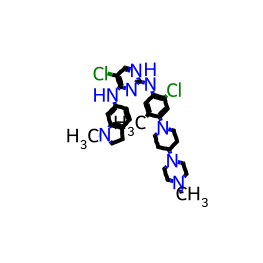 Cc1cc(Nc2ncc(Cl)c(Nc3ccc4c(c3)N(C)CC4)n2)c(Cl)cc1N1CCC(N2CCN(C)CC2)CC1